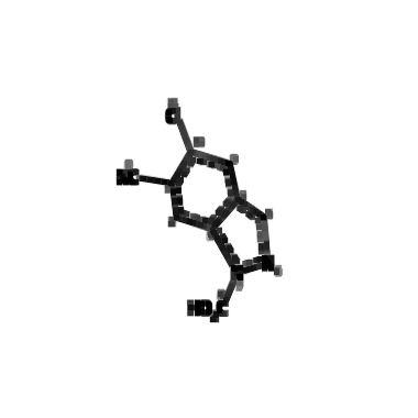 N#Cc1cc2c(cnn2C(=O)O)cc1Cl